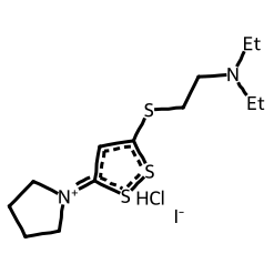 CCN(CC)CCSc1cc(=[N+]2CCCC2)ss1.Cl.[I-]